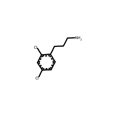 NCCCc1ccc(Cl)cc1Cl